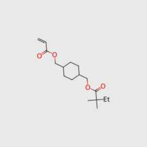 C=CC(=O)OCC1CCC(COC(=O)C(C)(C)CC)CC1